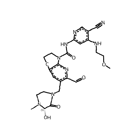 COCCNc1cc(NC(=O)N2CCCc3cc(CN4CCN(C)[C@@H](O)C4=O)c(C=O)nc32)ncc1C#N